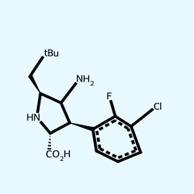 CC(C)(C)C[C@@H]1N[C@@H](C(=O)O)[C@H](c2cccc(Cl)c2F)C1N